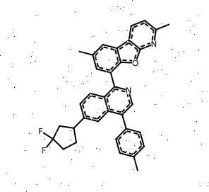 Cc1ccc(-c2cnc(-c3cc(C)cc4c3oc3nc(C)ccc34)c3ccc(C4CCC(F)(F)C4)cc23)cc1